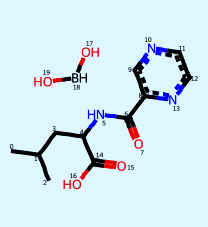 CC(C)CC(NC(=O)c1cnccn1)C(=O)O.OBO